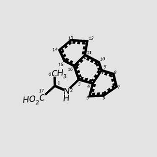 CC(Nc1c2ccccc2cc2ccccc12)C(=O)O